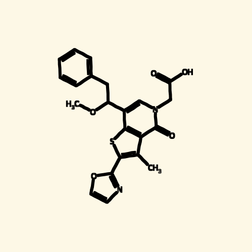 COC(Cc1ccccc1)c1cn(CC(=O)O)c(=O)c2c(C)c(-c3ncco3)sc12